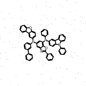 c1ccc(-c2cccc(N(c3cc(N(c4ccccc4)c4ccc5c(c4)c4ccccc4n5-c4ccccc4)c4oc(-c5ccccc5)nc4c3)c3ccc4oc5ccccc5c4c3)c2)cc1